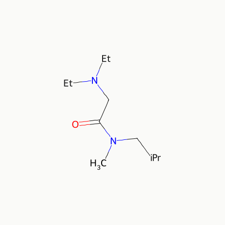 CCN(CC)CC(=O)N(C)CC(C)C